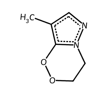 Cc1cnn2c1OOCC2